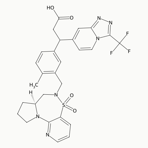 Cc1ccc(C(CC(=O)O)c2ccn3c(C(F)(F)F)nnc3c2)cc1CN1C[C@@H]2CCCN2c2ncccc2S1(=O)=O